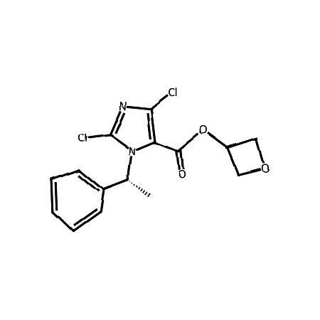 C[C@H](c1ccccc1)n1c(Cl)nc(Cl)c1C(=O)OC1COC1